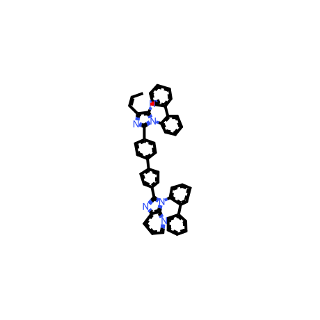 C=Nc1c(/C=C\C)nc(-c2ccc(-c3ccc(-c4nc5cccnc5n4-c4ccccc4-c4ccccc4)cc3)cc2)n1-c1ccccc1-c1ccccc1